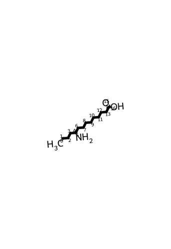 CCCCC(N)CCCCCCCCC(=O)O